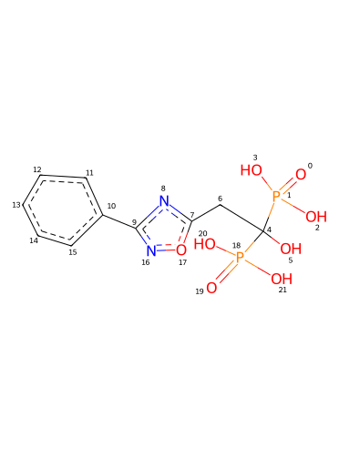 O=P(O)(O)C(O)(Cc1nc(-c2ccccc2)no1)P(=O)(O)O